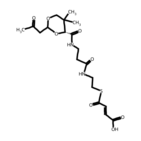 CC(=O)CC1OCC(C)(C)[C@H](C(=O)NCCC(=O)NCCSC(=O)/C=C/C(=O)O)O1